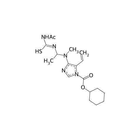 C=Cc1c(N(C)C(C)/N=C(\S)NC(C)=O)ncn1C(=O)OC1CCCCC1